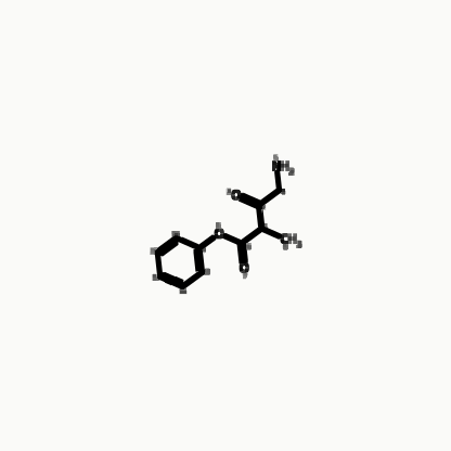 CC(C(=O)CN)C(=O)Oc1ccccc1